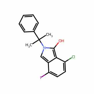 CC(C)(c1ccccc1)n1cc2c(I)ccc(Cl)c2c1O